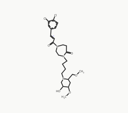 COCC1CC(OC)C(O)CN1CCCCN1CCN(C(=O)/C=C/c2ccc(Cl)c(Cl)c2)CCC1=O